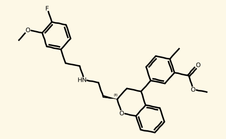 COC(=O)c1cc(C2C[C@H](CCNCCc3ccc(F)c(OC)c3)Oc3ccccc32)ccc1C